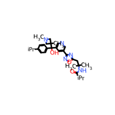 CC(C)C(=O)NC(C)(C)Cc1nc(-c2cncc(C(O)(c3ccc(C(C)C)cc3)C3(C)CN(C)C3)c2)no1